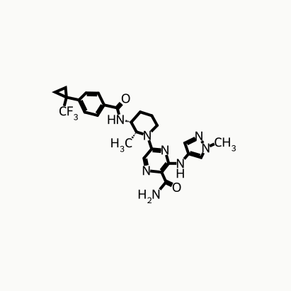 C[C@@H]1[C@H](NC(=O)c2ccc(C3(C(F)(F)F)CC3)cc2)CCCN1c1cnc(C(N)=O)c(Nc2cnn(C)c2)n1